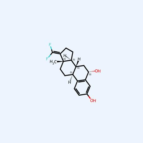 C[C@]12CC[C@@H]3c4ccc(O)cc4[C@@H](O)C[C@H]3[C@@H]1CCC2=C(F)F